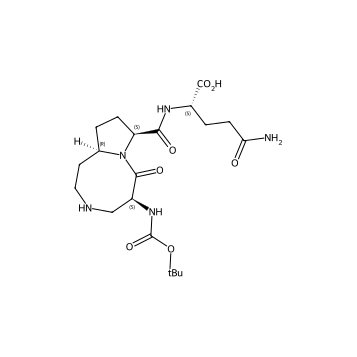 CC(C)(C)OC(=O)N[C@H]1CNCC[C@H]2CC[C@@H](C(=O)N[C@@H](CCC(N)=O)C(=O)O)N2C1=O